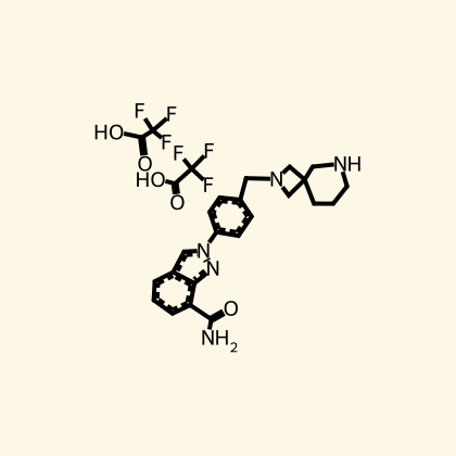 NC(=O)c1cccc2cn(-c3ccc(CN4CC5(CCCNC5)C4)cc3)nc12.O=C(O)C(F)(F)F.O=C(O)C(F)(F)F